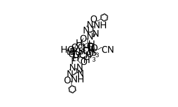 CC(C)(C)[Si](C)(C)O[C@H]1[C@H]2OP(=S)(OCCC#N)OC[C@H]3O[C@@H](n4cnc5c(NC(=O)c6ccccc6)ncnc54)[C@H](F)[C@@H]3OP(=O)(O)OC[C@H]1O[C@H]2n1cnc2c(NC(=O)c3ccccc3)ncnc21